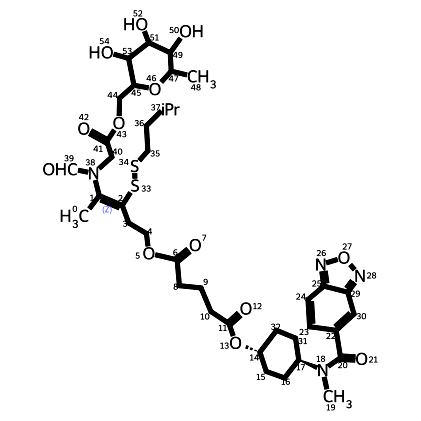 C/C(=C(\CCOC(=O)CCCC(=O)O[C@H]1CC[C@H](N(C)C(=O)c2ccc3nonc3c2)CC1)SSCCC(C)C)N(C=O)CC(=O)OCC1OC(C)C(O)C(O)C1O